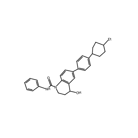 CCC1CCC(c2ccc(-c3ccc4c(c3)C(O)CCN4C(=O)Nc3ccccc3)cc2)CC1